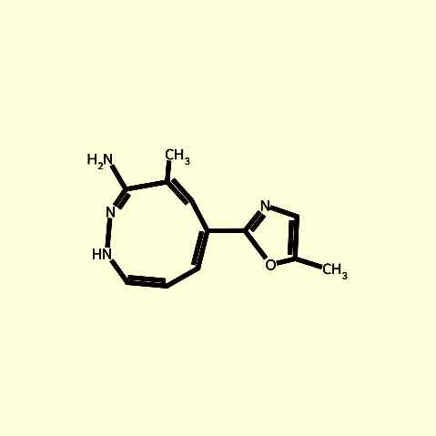 Cc1cnc(-c2ccc[nH]nc(N)c(C)c2)o1